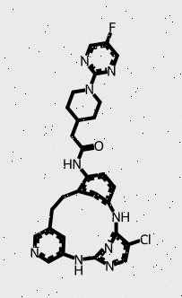 O=C(CC1CCN(c2ncc(F)cn2)CC1)Nc1ccc2cc1CCc1cncc(c1)Nc1ncc(Cl)c(n1)N2